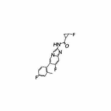 Cc1cc(F)ccc1-c1cn2cc(NC(=O)C3CC3F)nc2cc1F